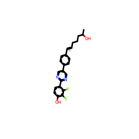 CC(O)CCC/C=C/c1ccc(-c2cnc(-c3ccc(O)c(F)c3F)nc2)cc1